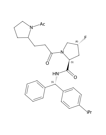 CC(=O)N1CCCC1CCC(=O)N1C[C@H](F)C[C@H]1C(=O)N[C@@H](c1ccccc1)c1ccc(C(C)C)cc1